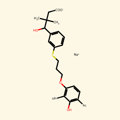 CCCc1c(OCCCSc2cccc(C(O)C(C)(C)CC(=O)[O-])c2)ccc(C(C)=O)c1O.[Na+]